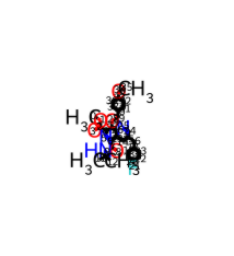 COC(=O)c1nc(C(=O)NC(C)C)c2cc(Cc3ccc(F)cc3)cnc2c1OCc1ccc(OC)cc1